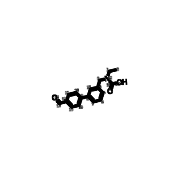 CCN(Cc1cccc(-c2ccc(C=O)cc2)c1)C(=O)O